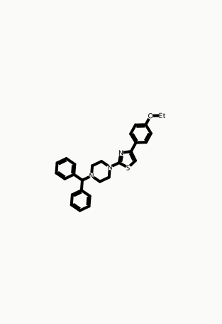 CCOc1ccc(-c2csc(N3CCN(C(c4ccccc4)c4ccccc4)CC3)n2)cc1